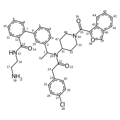 CC(c1cccc(-c2ccccc2C(=O)NCCN)c1)N(C(=O)Cc1ccc(Cl)cc1)C1CCN(C(=O)c2occ3ccccc23)CC1